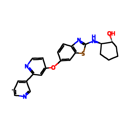 O[C@@H]1CCCC[C@H]1Nc1nc2ccc(Oc3ccnc(-c4c[c]cnc4)c3)cc2s1